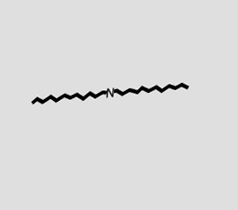 CCCCCCCCCCCC[N]CCCCCCCCCCCC